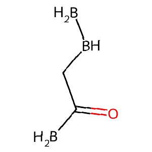 BBCC(B)=O